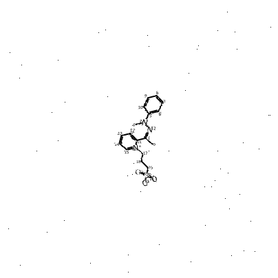 C/C(=N/N(C)c1ccccc1)c1cccc[n+]1CCCS(=O)(=O)[O-]